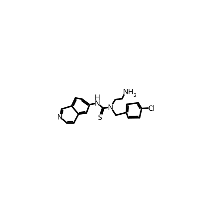 NCCN(Cc1ccc(Cl)cc1)C(=S)Nc1ccc2cnccc2c1